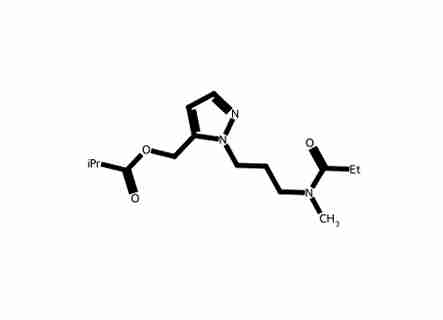 CCC(=O)N(C)CCCn1nccc1COC(=O)C(C)C